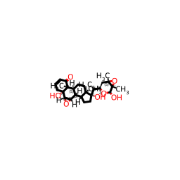 C[C@H]([C@H]1C[C@]2(C)O[C@]2(C)C(O)O1)[C@@]1(O)CC[C@H]2[C@@H]3[C@@H]4O[C@@H]4[C@@]4(O)CC=CC(=O)[C@]4(C)[C@H]3CC[C@@]21C